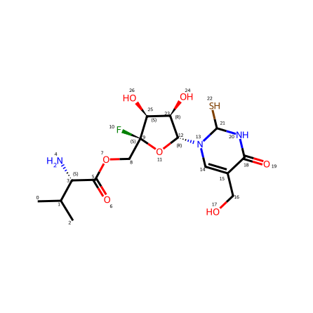 CC(C)[C@H](N)C(=O)OC[C@@]1(F)O[C@@H](N2C=C(CO)C(=O)NC2S)[C@H](O)[C@@H]1O